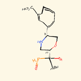 CCCCC(O)([PH2]=O)[C@@H]1CN[C@H](c2cccc(C(=O)O)c2)CO1